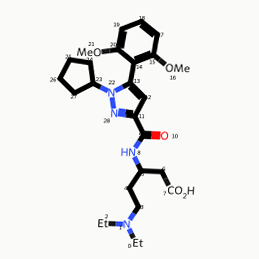 CCN(CC)CCC(CC(=O)O)NC(=O)c1cc(-c2c(OC)cccc2OC)n(C2CCCC2)n1